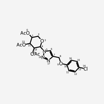 CC(=O)OC1COC(n2cc(COc3ccc(Cl)cc3)nn2)C(OC(C)=O)C1OC(C)=O